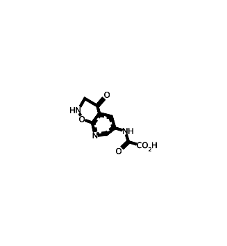 O=C(O)C(=O)Nc1cnc2c(c1)C(=O)CNO2